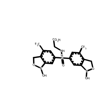 O=C(O)CN[SH](=O)(c1cc2c(c(C(F)(F)F)c1)COB2O)c1cc2c(c(C(F)(F)F)c1)COB2O